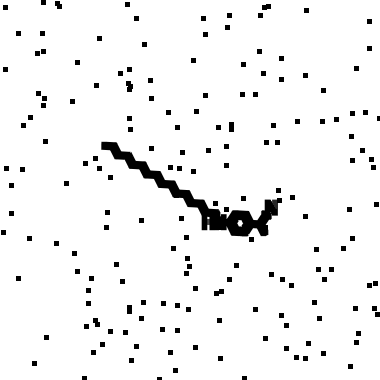 CCCCCCCCCCCCCCCCNc1ccc(C(C)C#N)cc1